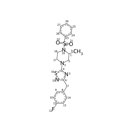 CC1CN(c2nc(Cc3ccc(F)cc3)ns2)CCN1S(=O)(=O)c1ccccc1